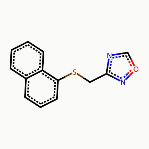 c1ccc2c(SCc3ncon3)cccc2c1